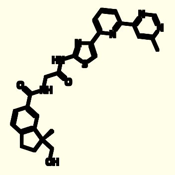 Cc1cc(-c2cccc(-c3csc(NC(=O)CNC(=O)c4ccc5c(c4)[C@](C)(CO)CC5)n3)n2)ncn1